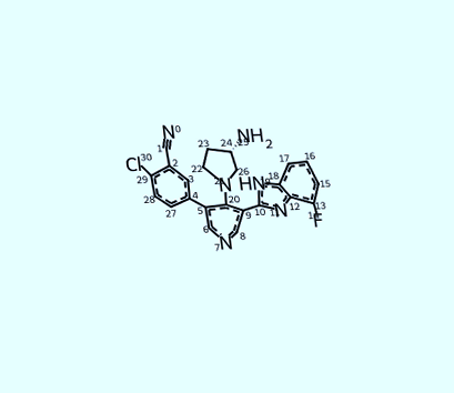 N#Cc1cc(-c2cncc(-c3nc4c(F)cccc4[nH]3)c2N2CC[C@H](N)C2)ccc1Cl